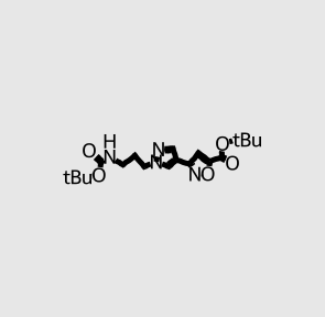 CC(C)(C)OC(=O)NCCCn1cc(-c2cc(C(=O)OC(C)(C)C)on2)cn1